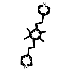 Cc1c(C)c(=CCc2ccncc2)c(C)c(C)c1=CCc1ccncc1